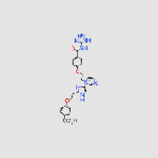 O=C(O)c1ccc(OCCc2nc([N+]3(CCOc4ccc(C(=O)Nc5nnn[nH]5)cc4)C=CN=C3)c[nH]2)cc1